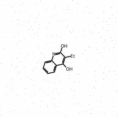 CCc1c(O)nc2ccccc2c1O